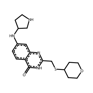 O=c1[nH]c(CSC2CCOCC2)nc2cc(NC3CCNC3)ccc12